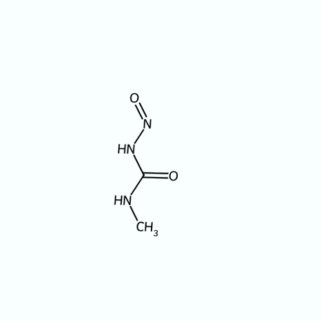 CNC(=O)NN=O